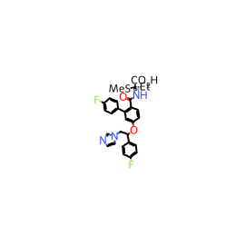 CC[C@](NC(=O)c1ccc(OC(Cn2ccnc2)c2ccc(F)cc2)cc1-c1ccc(F)cc1)(SC)C(=O)O